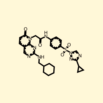 O=C(Cn1c(=O)ccc2cnc(NCC3CCCCC3)nc21)Nc1ccc(S(=O)(=O)n2cnc(C3CC3)n2)cc1